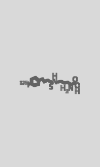 N[C@@H](CCCCNC(=S)CCCc1ccc([125I])cc1)C(=O)O